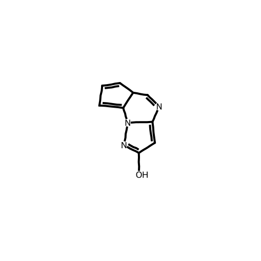 Oc1cc2n(n1)C1=CC=CC1C=N2